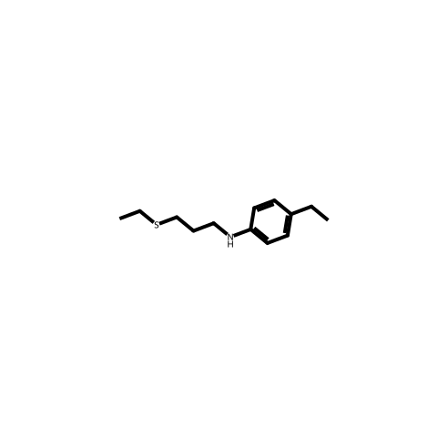 CCSCCCNc1ccc(CC)cc1